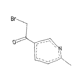 Cc1ccc(C(=O)CBr)cn1